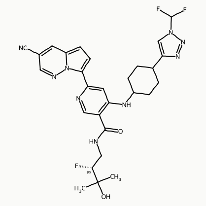 CC(C)(O)[C@H](F)CNC(=O)c1cnc(-c2ccc3cc(C#N)cnn23)cc1NC1CCC(c2cn(C(F)F)nn2)CC1